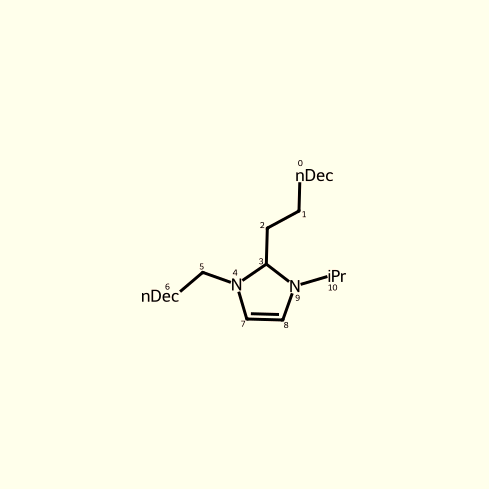 CCCCCCCCCCCCC1N(CCCCCCCCCCC)C=CN1C(C)C